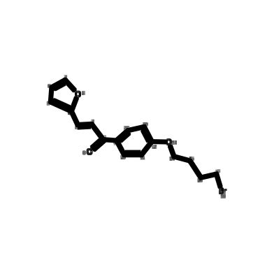 O=C(C=Cc1ccco1)c1ccc(OCCCCBr)cc1